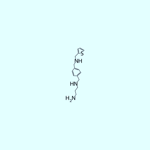 NCCCNCc1ccc(CNCc2cccs2)cc1